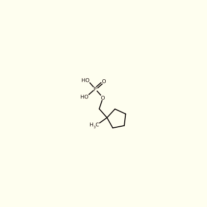 CC1(COP(=O)(O)O)CCCC1